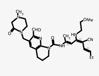 CC/C=C/C(C#N)=C(\C=C(/C)NC(=O)N1CCCc2cc(CN3CCN(C)CC3=O)c(C=O)nc21)NCCOC